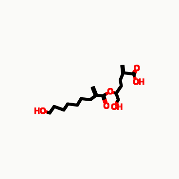 C=C(CCC(CO)OC(=O)C(=C)CCCCCCCO)C(=O)O